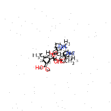 CC12CCC(C(O)C1)C(C)(C)N2.CC12CCC(C(O)C1)C(C)(C)N2.Cc1cc(C(=O)O)cc(C(=O)O)c1